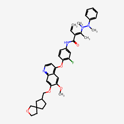 C=C/C(C(=O)Nc1ccc(Oc2ccnc3cc(OCC4CCC5(CCOC5)C4)c(OC)cc23)c(F)c1)=C(/C)N(C)N(C)c1ccccc1